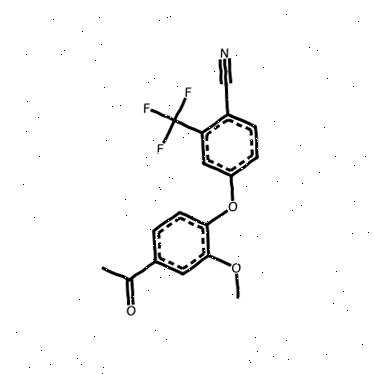 COc1cc(C(C)=O)ccc1Oc1ccc(C#N)c(C(F)(F)F)c1